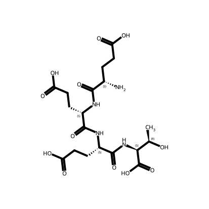 C[C@@H](O)[C@H](NC(=O)[C@H](CCC(=O)O)NC(=O)[C@H](CCC(=O)O)NC(=O)[C@@H](N)CCC(=O)O)C(=O)O